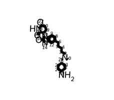 CN(CCCCCc1ccc2c(c1)n(C)c(=O)n2C1CCC(=O)NC1=O)C[C@H]1CC[C@H](N)CC1